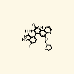 Nc1c(-c2ccc(F)c3[nH]ncc23)c2cc(OC[C@H]3CCCO3)c3ncccc3c2[nH]c1=O